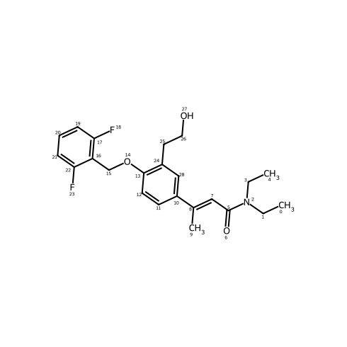 CCN(CC)C(=O)C=C(C)c1ccc(OCc2c(F)cccc2F)c(CCO)c1